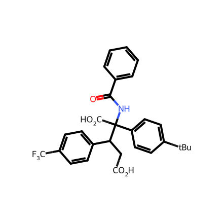 CC(C)(C)c1ccc(C(NC(=O)c2ccccc2)(C(=O)O)C(CC(=O)O)c2ccc(C(F)(F)F)cc2)cc1